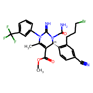 COC(=O)C1=C(C)N(c2cccc(C(F)(F)F)c2)C(=N)N(C(N)=O)[C@@H]1c1ccc(C#N)cc1CCCBr